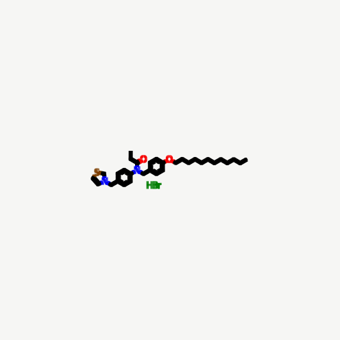 Br.CCCCCCCCCCCCOc1ccc(CN(C(=O)CC)c2ccc(CN3C=CSC3)cc2)cc1